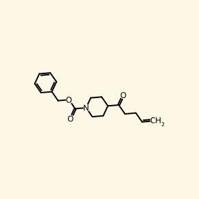 C=CCCC(=O)C1CCN(C(=O)OCc2ccccc2)CC1